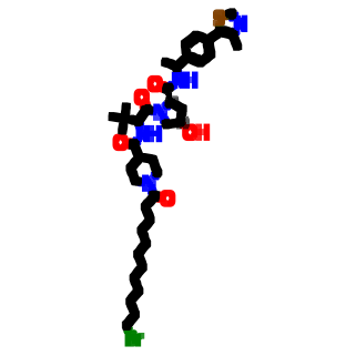 Cc1ncsc1-c1ccc(C(C)NC(=O)[C@@H]2C[C@@H](O)CN2C(=O)C(NC(=O)C2CCN(C(=O)CCCCCCCCCCCBr)CC2)C(C)(C)C)cc1